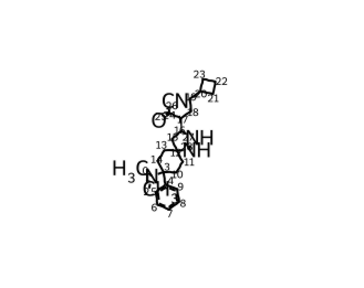 CN(C)C1(c2ccccc2)CCC2(CC1)C[C@@H](C(CCC1CCC1)C(=O)C#N)NN2